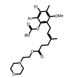 CCc1c(C)c(OC)c(C/C=C(\C)CCC(=O)OCCN2CCOCC2)c(OC(=O)C(C)CC)c1C(C)=O